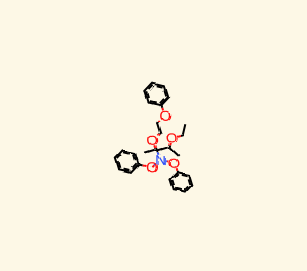 CCOC(C)C(C)(OCCOc1ccccc1)N(Oc1ccccc1)Oc1ccccc1